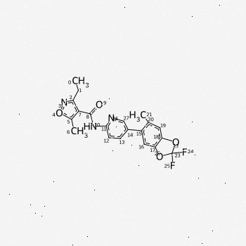 CCc1noc(C)c1C(=O)Nc1ccc(-c2cc3c(cc2C)OC(F)(F)O3)cn1